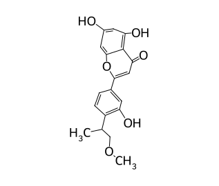 COCC(C)c1ccc(-c2cc(=O)c3c(O)cc(O)cc3o2)cc1O